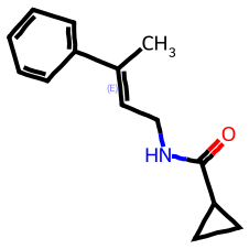 C/C(=C\CNC(=O)C1CC1)c1ccccc1